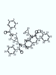 O=C(c1ccccc1)N1CC2C(C1)C2N(C(=O)c1ccccc1)c1ncc2cc(-c3ccccc3Cl)c(=O)n(C3CC3)c2n1